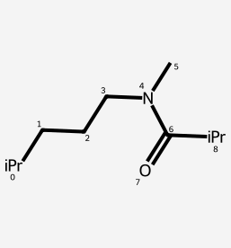 CC(C)CCCN(C)C(=O)C(C)C